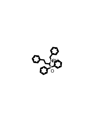 O=P(c1ccccc1)(c1ccccc1)C(CCc1ccccc1)N(O)Cc1ccccc1